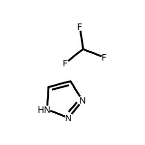 FC(F)F.c1c[nH]nn1